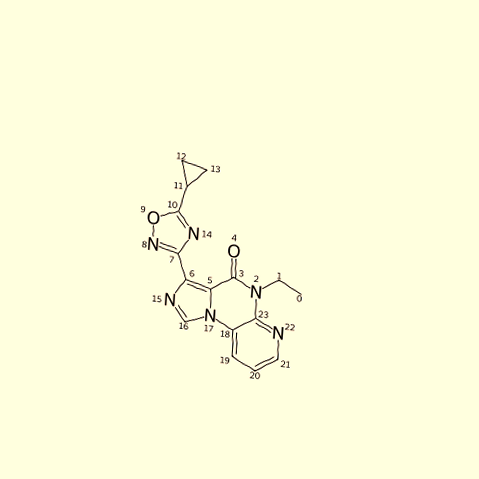 CCn1c(=O)c2c(-c3noc(C4CC4)n3)ncn2c2cccnc21